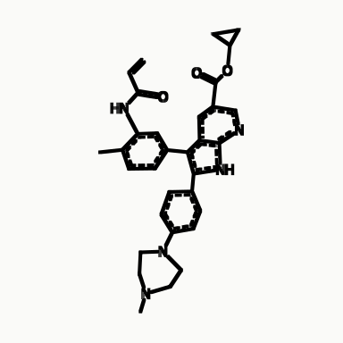 C=CC(=O)Nc1cc(-c2c(-c3ccc(N4CCN(C)CC4)cc3)[nH]c3ncc(C(=O)OC4CC4)cc23)ccc1C